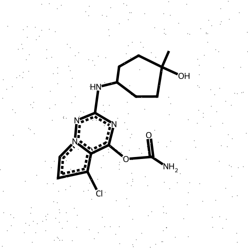 CC1(O)CCC(Nc2nc(OC(N)=O)c3c(Cl)ccn3n2)CC1